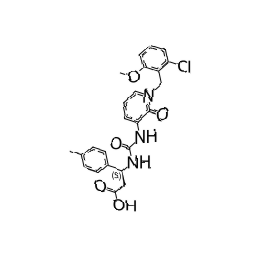 COc1cccc(Cl)c1Cn1cccc(NC(=O)N[C@@H](CC(=O)O)c2ccc(C)cc2)c1=O